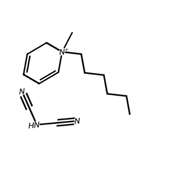 CCCCCC[N+]1(C)C=CC=CC1.N#CNC#N